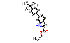 CCOC(=O)c1cc2ccc(-c3ccc(C(C)(C)C)cc3)cc2[nH]1